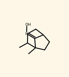 CC1CCC2CCC1(C)C2=NO